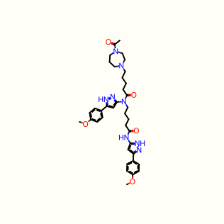 COc1ccc(-c2cc(NC(=O)CCCCN(C(=O)CCCCN3CCCN(C(C)=O)CC3)c3cc(-c4ccc(OC)cc4)[nH]n3)[nH]n2)cc1